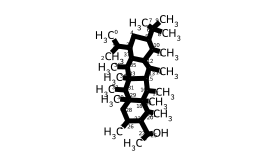 CC(C)C1CC(C(C)(C)C)C(C)C2C(C)C3C(C)C4(C)C(C)C(C(C)O)C(C)CC4(C)C(C)C3(C)C(C)C12